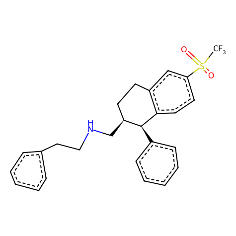 O=S(=O)(c1ccc2c(c1)CC[C@H](CNCCc1ccccc1)[C@@H]2c1ccccc1)C(F)(F)F